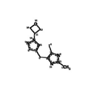 Cn1nc(I)c(Cc2cnn(C3COC3)c2)n1